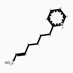 O=C(O)/C=C/CCCCc1ccccn1